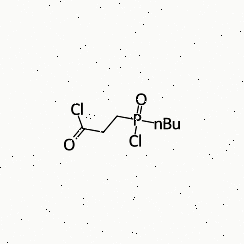 CCCCP(=O)(Cl)CCC(=O)Cl